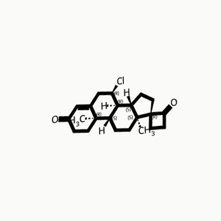 C[C@]12CCC(=O)C=C1C[C@@H](Cl)[C@@H]1[C@@H]2CC[C@@]2(C)[C@H]1CC[C@@]21CCC1=O